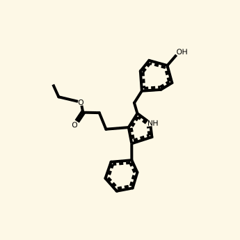 CCOC(=O)CCc1c(-c2ccccc2)c[nH]c1Cc1ccc(O)cc1